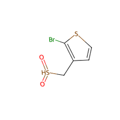 O=[SH](=O)Cc1ccsc1Br